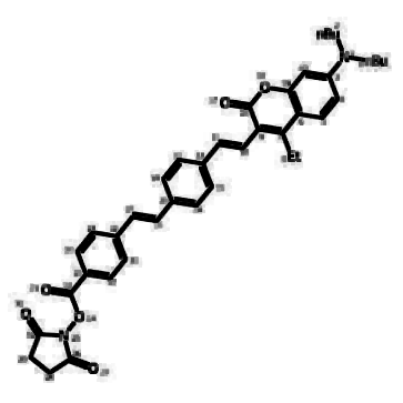 CCCCN(CCCC)c1ccc2c(CC)c(/C=C/c3ccc(/C=C/c4ccc(C(=O)ON5C(=O)CCC5=O)cc4)cc3)c(=O)oc2c1